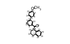 COc1ccc(-c2cncc(C(=O)N3CCCc4ccccc43)c2)cc1